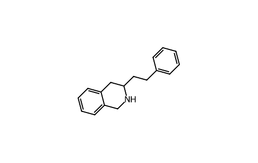 c1ccc(CCC2Cc3ccccc3CN2)cc1